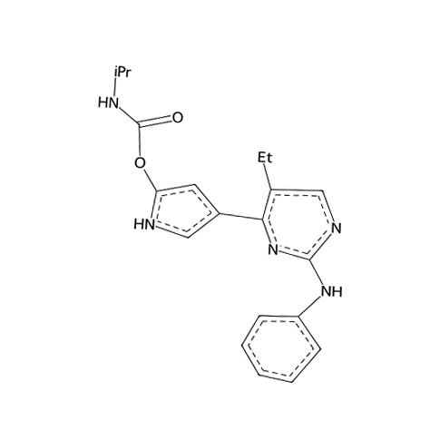 CCc1cnc(Nc2ccccc2)nc1-c1c[nH]c(OC(=O)NC(C)C)c1